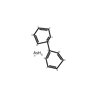 [AsH3].c1ccc(-c2ccccc2)cc1